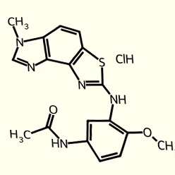 COc1ccc(NC(C)=O)cc1Nc1nc2c(ccc3c2ncn3C)s1.Cl